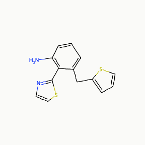 Nc1cccc(Cc2cccs2)c1-c1nccs1